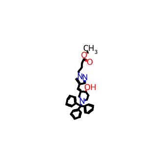 CCOC(=O)CCCn1cc(C=C2CN(C(c3ccccc3)(c3ccccc3)c3ccccc3)CCC2O)cn1